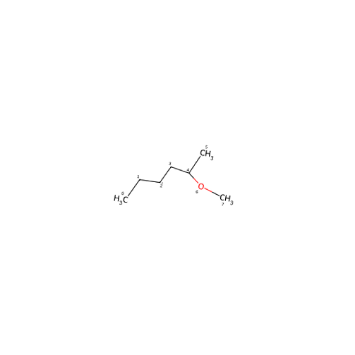 CC[CH]CC(C)OC